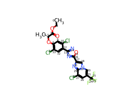 CCOC(=O)[C@@H](C)Oc1cc(Cl)c(-c2noc(-c3cn4cc(C(F)(F)F)cc(Cl)c4n3)n2)cc1Cl